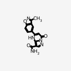 Cc1noc2ccc(-c3cc(=O)n4ncc(C(N)=O)c4[nH]3)cc12